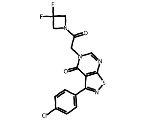 O=C(Cn1cnc2snc(-c3ccc(Cl)cc3)c2c1=O)N1CC(F)(F)C1